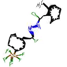 Cc1ccccc1/C(Cl)=N/N=C(\Cl)c1cccc(S(F)(F)(F)(F)F)c1